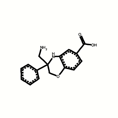 NCC1(c2ccccc2)COc2ccc(C(=O)O)cc2N1